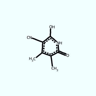 [C-]#[N+]c1c(O)[nH]c(=O)c(C)c1C